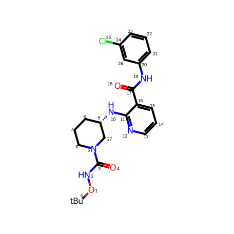 CC(C)(C)ONC(=O)N1CCC[C@H](Nc2ncccc2C(=O)Nc2cccc(Cl)c2)C1